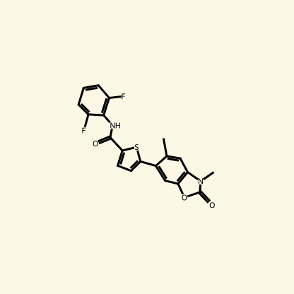 Cc1cc2c(cc1-c1ccc(C(=O)Nc3c(F)cccc3F)s1)oc(=O)n2C